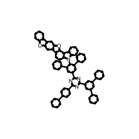 c1ccc(-c2ccc(-c3nc(-c4cc(-c5ccccc5)cc(-c5ccccc5)c4)nc(-c4cc(-c5ccccc5)c(-n5c6ccccc6c6c7oc8cc9c(cc8c7ccc65)oc5ccccc59)c(-c5ccccc5)c4)n3)cc2)cc1